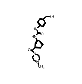 CN1CCN(C(=O)c2cccc(NC(=O)Nc3ccc(CS)cc3)c2)CC1